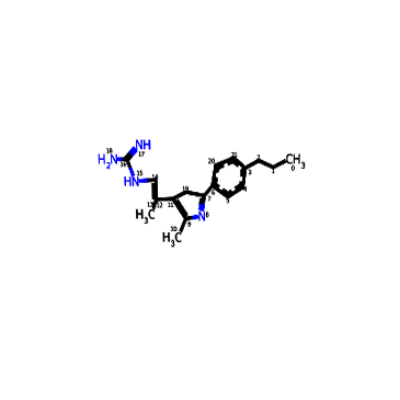 CCCc1ccc(C2=NC(C)=C(/C(C)=C/NC(=N)N)C2)cc1